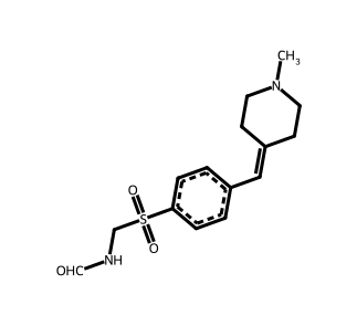 CN1CCC(=Cc2ccc(S(=O)(=O)CNC=O)cc2)CC1